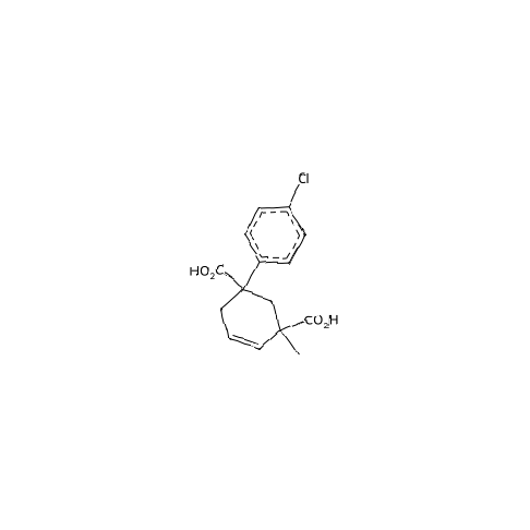 CC1(C(=O)O)C=CCC(C(=O)O)(c2ccc(Cl)cc2)C1